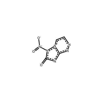 O=c1nc2nnccn2n1[N+](=O)[O-]